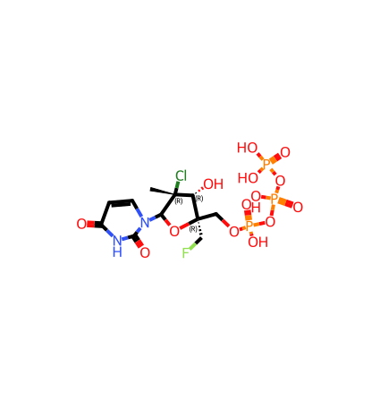 C[C@]1(Cl)C(n2ccc(=O)[nH]c2=O)O[C@](CF)(COP(=O)(O)OP(=O)(O)OP(=O)(O)O)[C@H]1O